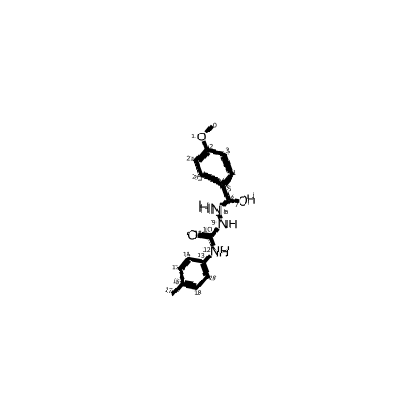 COc1ccc(C(O)NNC(=O)Nc2ccc(C)cc2)cc1